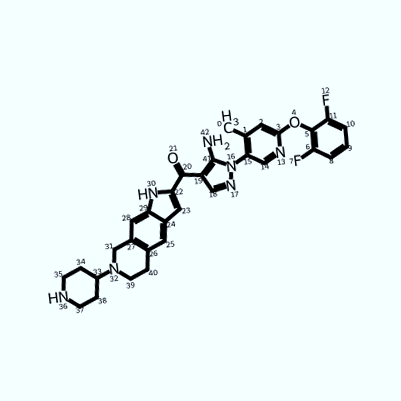 Cc1cc(Oc2c(F)cccc2F)ncc1-n1ncc(C(=O)c2cc3cc4c(cc3[nH]2)CN(C2CCNCC2)CC4)c1N